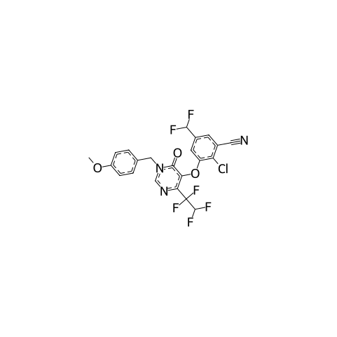 COc1ccc(Cn2cnc(C(F)(F)C(F)F)c(Oc3cc(C(F)F)cc(C#N)c3Cl)c2=O)cc1